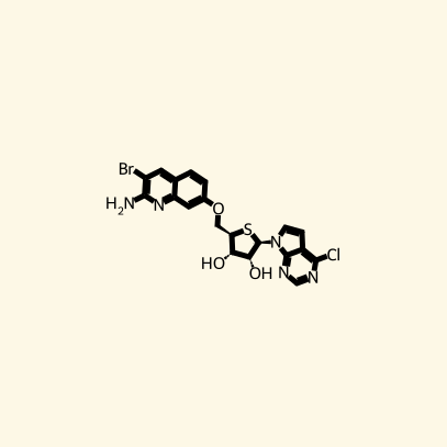 Nc1nc2cc(OC[C@H]3S[C@@H](n4ccc5c(Cl)ncnc54)[C@H](O)[C@@H]3O)ccc2cc1Br